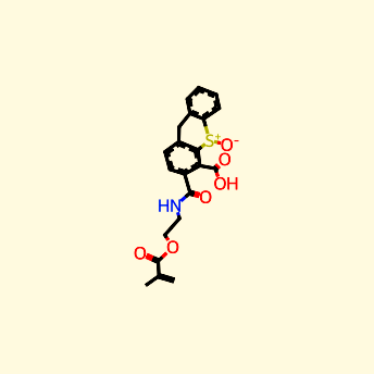 C=C(C)C(=O)OCCNC(=O)c1ccc2c(c1C(=O)O)[S+]([O-])c1ccccc1C2